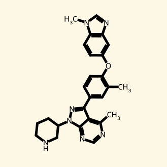 Cc1cc(-c2nn(C3CCCNC3)c3ncnc(C)c23)ccc1Oc1ccc2c(c1)ncn2C